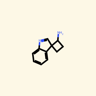 NC1CCC12C=Nc1ccccc12